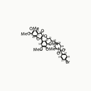 COc1cc(OC)c2c(=O)c(OCCCCN3CCN(S(=O)(=O)c4ccc(Br)cc4)CC3)c(-c3cc(OC)c(OC)c(OC)c3)oc2c1